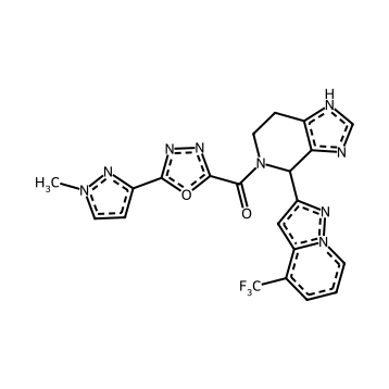 Cn1ccc(-c2nnc(C(=O)N3CCc4[nH]cnc4C3c3cc4c(C(F)(F)F)cccn4n3)o2)n1